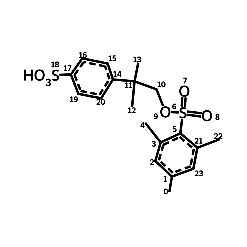 Cc1cc(C)c(S(=O)(=O)OCC(C)(C)c2ccc(S(=O)(=O)O)cc2)c(C)c1